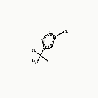 CCC(C)(N)n1cc(C(C)(C)C)nn1